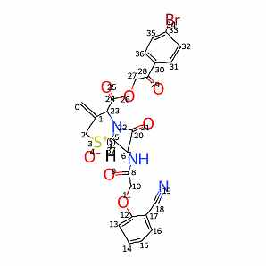 C=C1C[S+]([O-])[C@H]2C(NC(=O)COc3ccccc3C#N)C(=O)N2C1C(=O)OCC(=O)c1ccc(Br)cc1